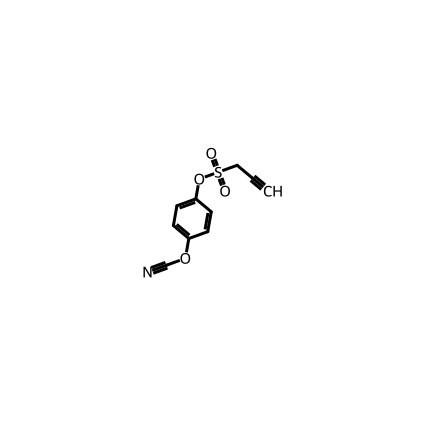 C#CCS(=O)(=O)Oc1ccc(OC#N)cc1